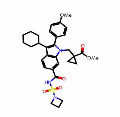 COC(=O)C1(Cn2c(-c3ccc(OC)cc3)c(C3CCCCC3)c3ccc(C(=O)NS(=O)(=O)N4CCC4)cc32)CC1